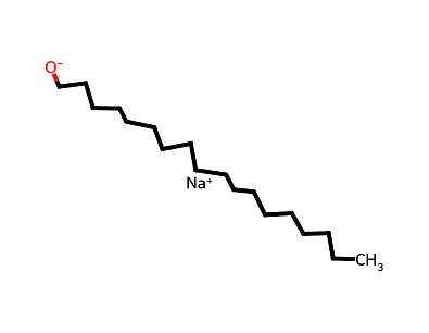 CCCCCCCCCCCCCCCCCC[O-].[Na+]